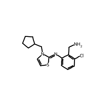 NCc1c(Cl)cccc1N=c1sccn1CC1CCCC1